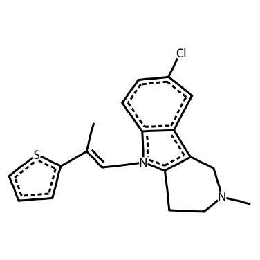 C/C(=C\n1c2c(c3cc(Cl)ccc31)CN(C)CC2)c1cccs1